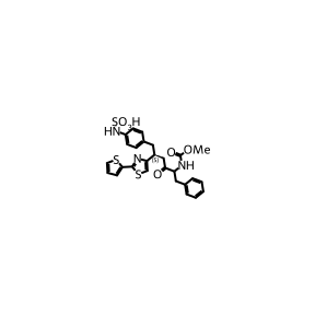 COC(=O)NC(Cc1ccccc1)C(=O)C[C@H](Cc1ccc(NS(=O)(=O)O)cc1)c1csc(-c2cccs2)n1